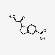 C=CC(=O)N1CCc2cc(C(=O)O)ccc21